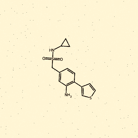 Nc1cc(CS(=O)(=O)NC2CC2)ccc1-c1ccsc1